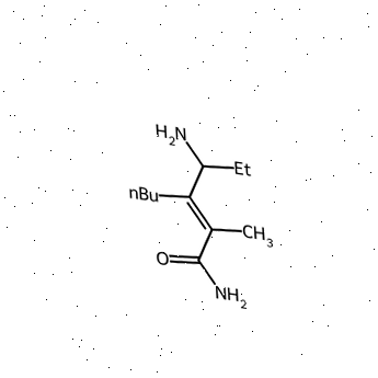 CCCCC(=C(C)C(N)=O)C(N)CC